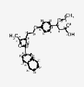 CCOC(CC(=O)O)c1ccc(OCCc2nc(-c3ccc4ccccc4n3)oc2C)cc1